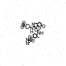 Cc1cc(S(=O)(=O)n2cncn2)ccc1NC(=O)Cn1c(=O)ccc2cnc(NC3CCN(S(C)(=O)=O)CC3)nc21